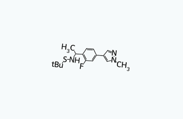 CC(NSC(C)(C)C)c1ccc(-c2cnn(C)c2)cc1F